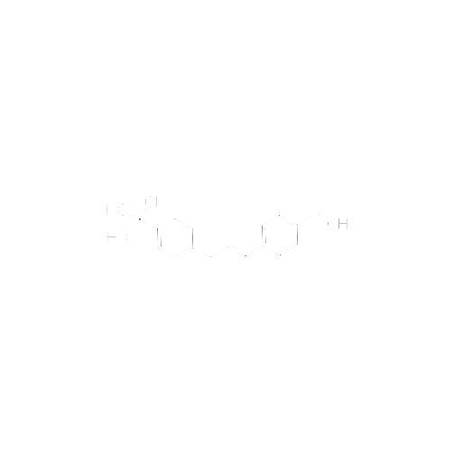 COc1ccc(C=CCc2ccc(C(C)(C)C)cc2)cc1